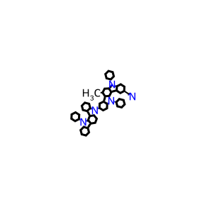 Cc1cc2c(c3cc(C#N)ccc3n2-c2ccccc2)c2c1c1cc(-n3c4ccccc4c4c3ccc3c5ccccc5n(-c5ccccc5)c34)ccc1n2-c1ccccc1